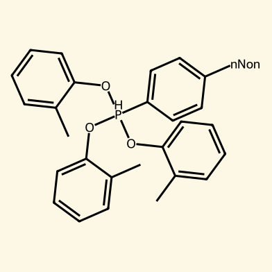 CCCCCCCCCc1ccc([PH](Oc2ccccc2C)(Oc2ccccc2C)Oc2ccccc2C)cc1